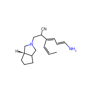 C\C=C/C(=C\C=C\N)C(C#N)CN1CC2CCC[C@@H]2C1